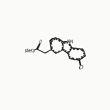 COC(=O)Cc1ccc2[nH]c3ccc(Cl)cc3c2c1